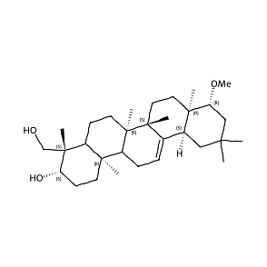 CO[C@@H]1CC(C)(C)C[C@H]2C3=CCC4[C@@]5(C)CC[C@H](O)[C@](C)(CO)C5CC[C@@]4(C)[C@]3(C)CC[C@@]12C